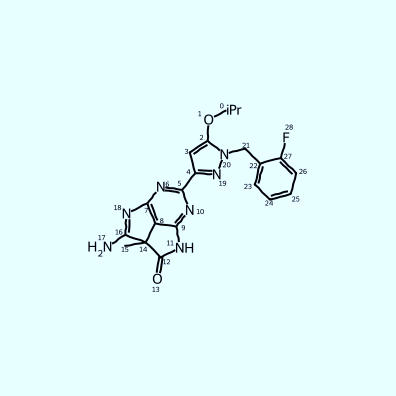 CC(C)Oc1cc(-c2nc3c4c(n2)NC(=O)C4(C)C(N)=N3)nn1Cc1ccccc1F